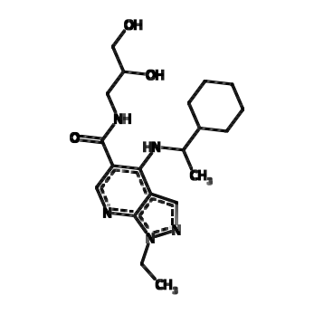 CCn1ncc2c(NC(C)C3CCCCC3)c(C(=O)NCC(O)CO)cnc21